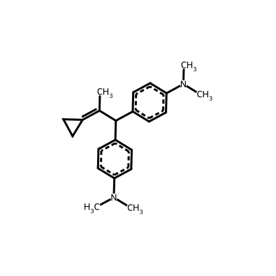 CC(=C1CC1)C(c1ccc(N(C)C)cc1)c1ccc(N(C)C)cc1